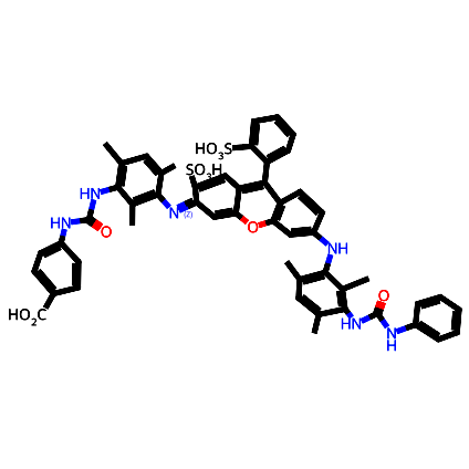 Cc1cc(C)c(NC(=O)Nc2ccc(C(=O)O)cc2)c(C)c1/N=c1/cc2oc3cc(Nc4c(C)cc(C)c(NC(=O)Nc5ccccc5)c4C)ccc3c(-c3ccccc3S(=O)(=O)O)c-2cc1S(=O)(=O)O